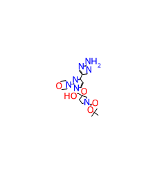 CC(C)(C)OC(=O)N1CCC(CO)(Oc2cc(-c3cnc(N)nc3)nc(N3CCOCC3)n2)C1